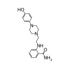 NC(=O)c1ccccc1NCCN1CCN(c2ccc(O)cc2)CC1